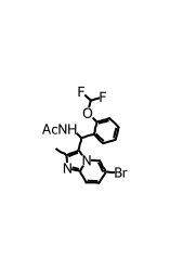 CC(=O)NC(c1ccccc1OC(F)F)c1c(C)nc2ccc(Br)cn12